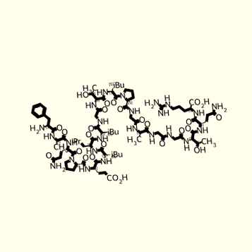 CC[C@H](C)[C@H](NC(=O)[C@H](CC(C)C)NC(=O)[C@@H](NC(=O)[C@H](CCC(=O)O)NC(=O)[C@@H]1CCCN1C(=O)[C@H](CCC(N)=O)NC(=O)[C@H](C)NC(=O)[C@@H](N)Cc1ccccc1)[C@@H](C)CC)C(=O)NCC(=O)N[C@H](C(=O)N[C@H](C(=O)N1CCC[C@H]1C(=O)NCC(=O)N[C@@H](C)C(=O)NCC(=O)NCC(=O)N[C@H](C(=O)N[C@@H](CCC(N)=O)C(=O)N[C@@H](CCCNC(=N)N)C(=O)O)[C@@H](C)O)[C@@H](C)CC)[C@@H](C)O